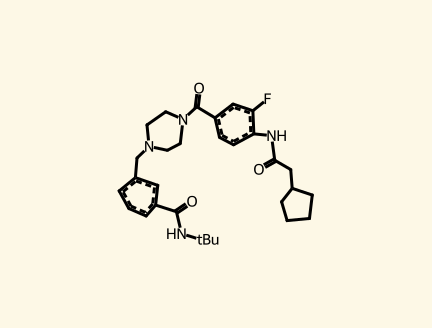 CC(C)(C)NC(=O)c1cccc(CN2CCN(C(=O)c3ccc(NC(=O)CC4CCCC4)c(F)c3)CC2)c1